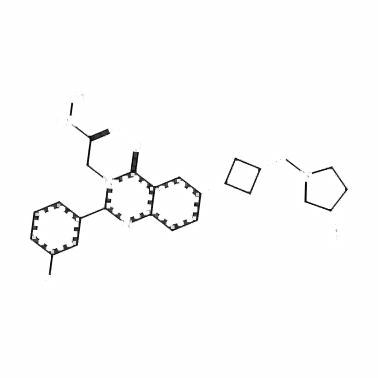 CC(C)NC(=O)Cn1c(-c2cccc(Cl)c2)nc2ccc([C@H]3C[C@@H](CN4CC[C@H](F)C4)C3)cc2c1=O